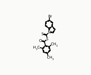 Cc1cc(C)c(C(=O)SC(=S)n2ccc3cc(Br)ccc32)c(C)c1